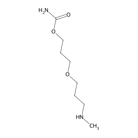 CNCCCOCCCOC(N)=O